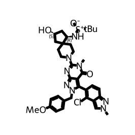 COc1ccc(Cn2nc3nc(N4CCC5(CC4)C[C@H](O)C[C@H]5N[S+]([O-])C(C)(C)C)n(C)c(=O)c3c2-c2ccc3nn(C)cc3c2Cl)cc1